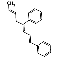 CC=CCC(=CC=Cc1ccccc1)c1ccccc1